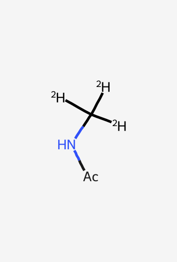 [2H]C([2H])([2H])NC(C)=O